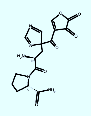 NC(=O)[C@@H]1CCCN1C(=O)[C@@H](N)CC1(C(=O)C2=COC(=O)C2=O)C=NC=N1